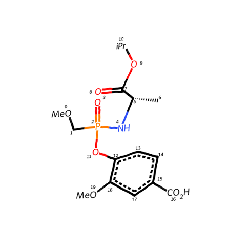 COCP(=O)(N[C@@H](C)C(=O)OC(C)C)Oc1ccc(C(=O)O)cc1OC